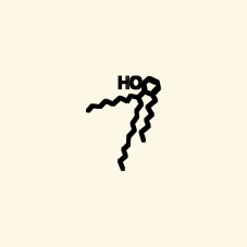 CCCCCCCCCCCC(CCCCCCCC)c1c(O)cccc1CCCCCCC